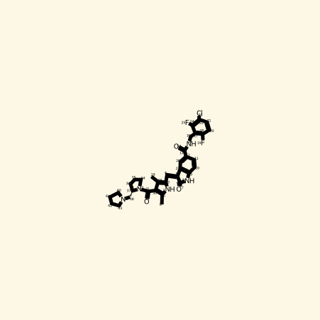 Cc1[nH]c(/C=C2\C(=O)Nc3ccc(C(=O)NCc4c(F)ccc(Cl)c4F)cc32)c(C)c1C(=O)N1CCC[C@H]1CN1CCCC1